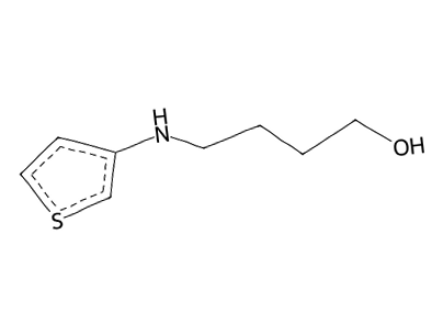 OCCCCNc1ccsc1